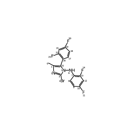 Cc1nc(Br)n(Nc2ccc(F)cc2F)c1-c1ccc(F)cc1F